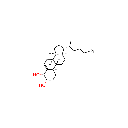 CC(C)CCCC(C)[C@H]1CC[C@H]2[C@@H]3CC=C4C(O)[C@@H](O)CC[C@]4(C)[C@H]3CC[C@]12C